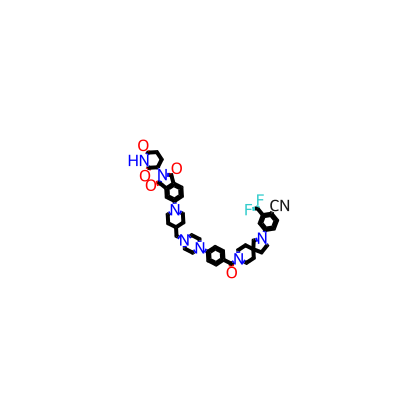 N#Cc1ccc(N2CCC3(CCN(C(=O)c4ccc(N5CCN(CC6CCN(c7ccc8c(c7)C(=O)N(C7CCC(=O)NC7=O)C8=O)CC6)CC5)cc4)CC3)C2)cc1C(F)F